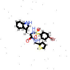 O=C(NCc1cccs1)[C@H](Cc1c[nH]c2ccccc12)NS(=O)(=O)c1ccc(Br)cc1